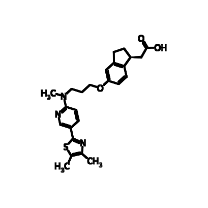 Cc1nc(-c2ccc(N(C)CCCOc3ccc4c(c3)CC[C@H]4CC(=O)O)nc2)sc1C